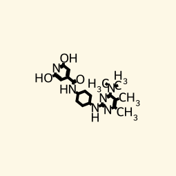 Cc1nc(NC2CCC(NC(=O)c3cc(O)nc(O)c3)CC2)nc(N(C)C)c1C